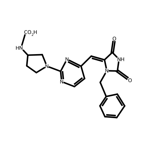 O=C(O)NC1CCN(c2nccc(C=C3C(=O)NC(=O)N3Cc3ccccc3)n2)C1